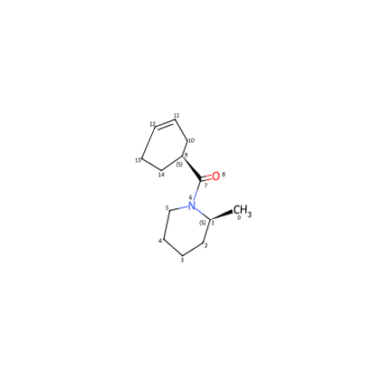 C[C@H]1CCCCN1C(=O)[C@@H]1CC=CCC1